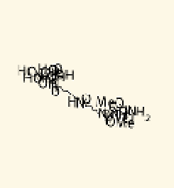 COc1cc(N)c(Cl)cc1C(=O)N[C@@H]1CCN(CCCCCC(=O)NCCCCCCCC(=O)N(CCP(=O)(O)O)C[C@H](O)[C@@H](O)[C@H](O)[C@H](O)CO)C[C@@H]1OC